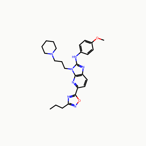 CCCc1noc(-c2ccc3nc(Nc4ccc(OC)cc4)n(CCCN4CCCCC4)c3n2)n1